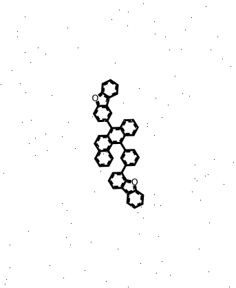 c1cc(-c2cccc3c2oc2ccccc23)cc(-c2c3ccccc3c(-c3ccc4oc5ccccc5c4c3)c3ccc4ccccc4c23)c1